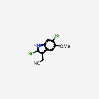 COc1cc2c(CC#N)c(Br)[nH]c2cc1Br